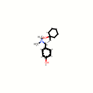 CN(C)[C@H](CC1(O)CCCCC1)c1ccc(O)cc1